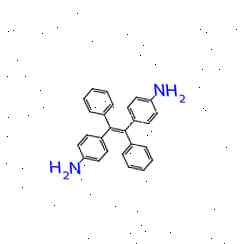 Nc1ccc(/C(=C(\c2ccccc2)c2ccc(N)cc2)c2ccccc2)cc1